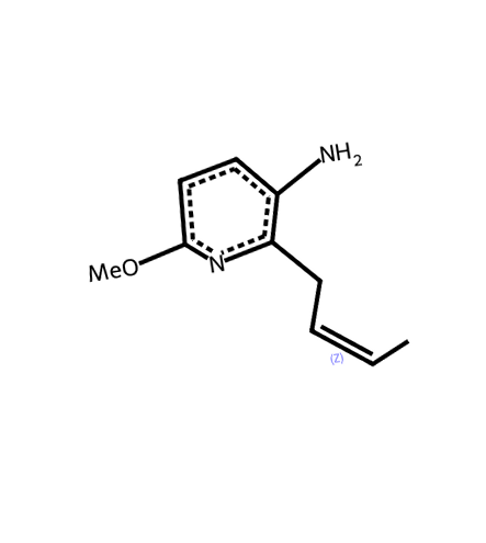 C/C=C\Cc1nc(OC)ccc1N